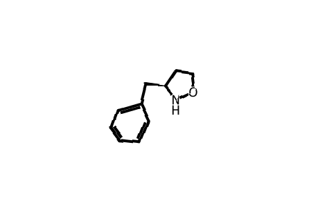 c1ccc(C[C@H]2CCON2)cc1